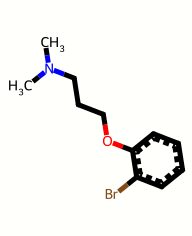 CN(C)CCCOc1ccccc1Br